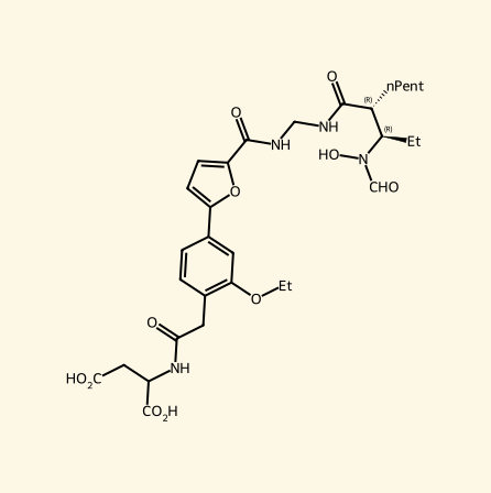 CCCCC[C@@H](C(=O)NCNC(=O)c1ccc(-c2ccc(CC(=O)NC(CC(=O)O)C(=O)O)c(OCC)c2)o1)[C@@H](CC)N(O)C=O